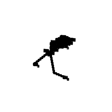 CCCCCCCC/C=C\CCCCCCCCCCCCCC(=O)N[C@@H](CO[C@@H]1OC(CO)[C@@H](O[C@@H]2OC(CO)[C@H](O)[C@H](O[C@]3(C(=O)O)CC(O)[C@@H](NC(C)=O)C([C@H](O)[C@@H](CO)O[C@]4(C(=O)O)CC(O)[C@@H](NC(C)=O)C([C@H](O)[C@H](O)CO)O4)O3)C2O)[C@H](O)C1O)[C@H](O)/C=C/CCCCCCCCCCCCC